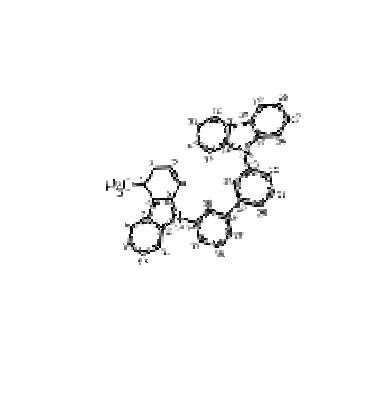 CC1CC=Cc2c1c1ccccc1n2-c1cccc(-c2cccc(-n3c4ccccc4c4ccccc43)c2)c1